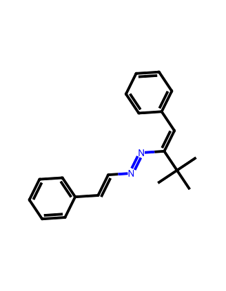 CC(C)(C)C(=Cc1ccccc1)N=NC=Cc1ccccc1